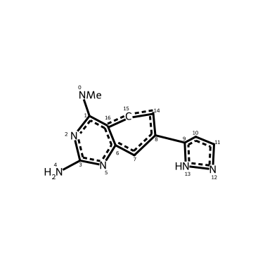 CNc1nc(N)nc2cc(-c3ccn[nH]3)ccc12